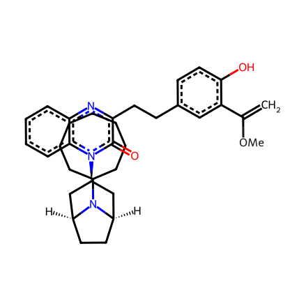 C=C(OC)c1cc(CCc2nc3ccccc3n([C@H]3C[C@H]4CC[C@@H](C3)N4C3CCCCCCC3)c2=O)ccc1O